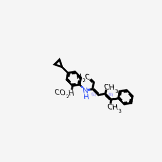 C=C/C(=C\C(C)=C(/C)c1ccccc1)Nc1ccc(C2CC2)cc1C(=O)O